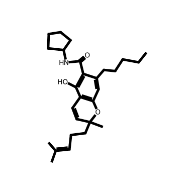 CCCCCc1cc2c(c(O)c1C(=O)NC1CCCC1)C=CC(C)(CCC=C(C)C)O2